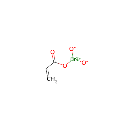 C=CC(=O)O[Br+2]([O-])[O-]